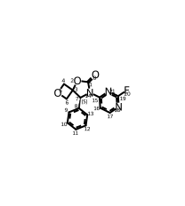 O=C1OC2(COC2)[C@H](c2ccccc2)N1c1ccnc(F)n1